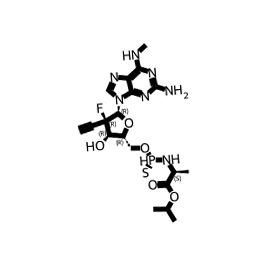 C#C[C@@]1(F)[C@H](O)[C@@H](CO[PH](=S)N[C@@H](C)C(=O)OC(C)C)O[C@H]1n1cnc2c(NC)nc(N)nc21